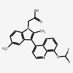 Cc1ccc2c(c1)c(-c1ccnc3c(OC(F)F)cccc13)c(C)n2CC(=O)O